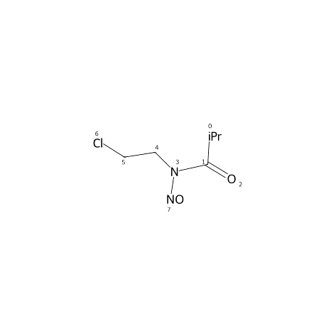 CC(C)C(=O)N(CCCl)N=O